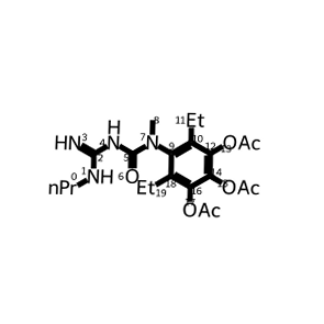 CCCNC(=N)NC(=O)N(C)c1c(CC)c(OC(C)=O)c(OC(C)=O)c(OC(C)=O)c1CC